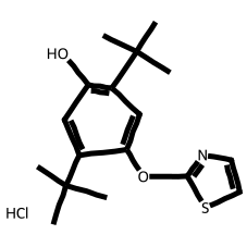 CC(C)(C)c1cc(Oc2nccs2)c(C(C)(C)C)cc1O.Cl